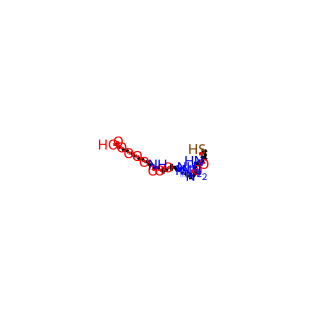 CC(C)(S)CC(C)(C)C(=O)NC(C)(C)COC(C)(C)C[N+](C)(C)C/C(N)=C/N(N)CCC(C)(C)OCC(C)(C)OCC(=O)NCCOCCOCCOCCOCC(=O)O